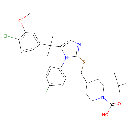 COc1cc(C(C)(C)c2cnc(SCC3CCN(C(=O)O)C(C(C)(C)C)C3)n2-c2ccc(F)cc2)ccc1Cl